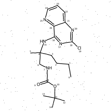 CCCCC(C)(CNC(=O)OC(C)(C)C)Nc1nc(Cl)nc2cccnc12